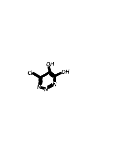 Oc1nnnc(Cl)c1O